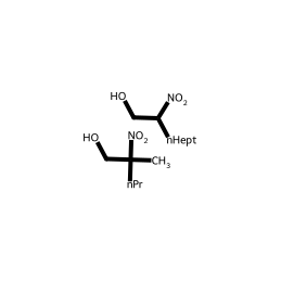 CCCC(C)(CO)[N+](=O)[O-].CCCCCCCC(CO)[N+](=O)[O-]